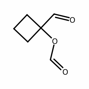 O=COC1(C=O)CCC1